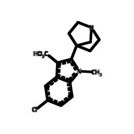 Cn1c(C23CCN(CC2)C3)c(C(=O)O)c2cc(Cl)ccc21